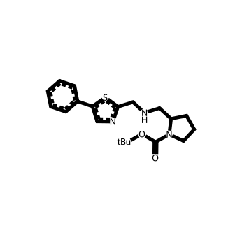 CC(C)(C)OC(=O)N1CCCC1CNCc1ncc(-c2ccccc2)s1